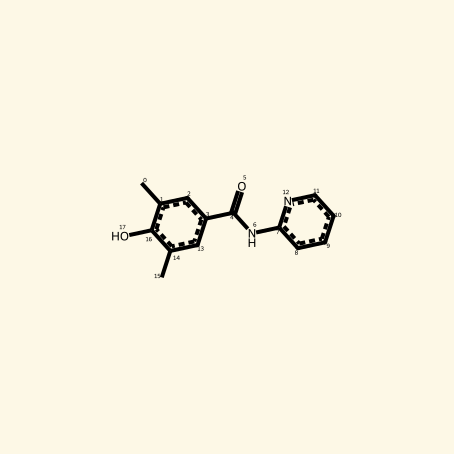 Cc1cc(C(=O)Nc2ccccn2)cc(C)c1O